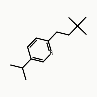 CC(C)c1ccc(CCC(C)(C)C)nc1